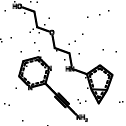 NC#Cc1ncccn1.OCCOCCNc1ccc2cc1-2